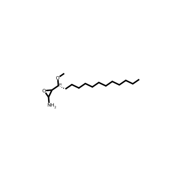 CCCCCCCCCCCC[C@@H](OC)C1OC1N